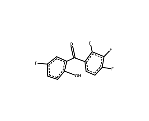 O=C(c1cc(F)ccc1O)c1ccc(F)c(F)c1F